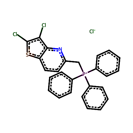 Clc1sc2ccc(C[P+](c3ccccc3)(c3ccccc3)c3ccccc3)nc2c1Cl.[Cl-]